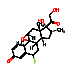 C[C@@H]1C[C@H]2[C@@H]3CC(F)C4=CC(=O)C=C[C@]4(C)[C@@]34O[C@H]4C[C@]2(C)[C@@]1(O)C(=O)CO